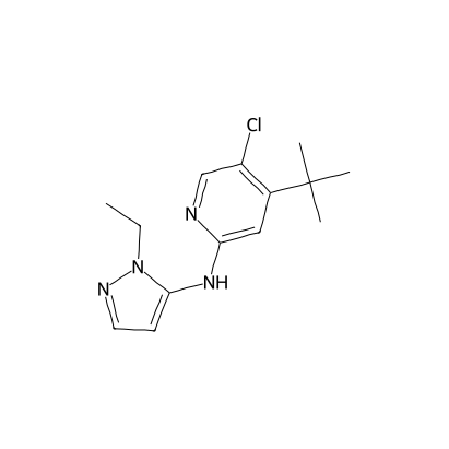 CCn1nccc1Nc1cc(C(C)(C)C)c(Cl)cn1